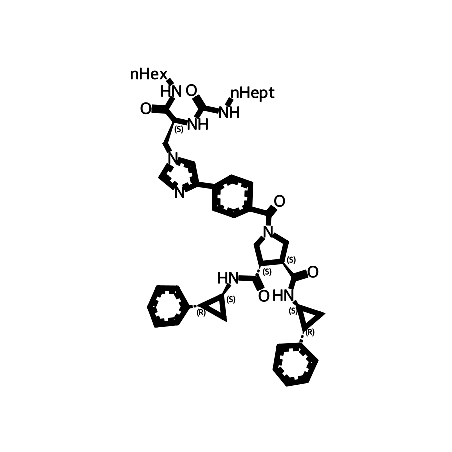 CCCCCCCNC(=O)N[C@@H](Cn1cnc(-c2ccc(C(=O)N3C[C@@H](C(=O)N[C@H]4C[C@@H]4c4ccccc4)[C@H](C(=O)N[C@H]4C[C@@H]4c4ccccc4)C3)cc2)c1)C(=O)NCCCCCC